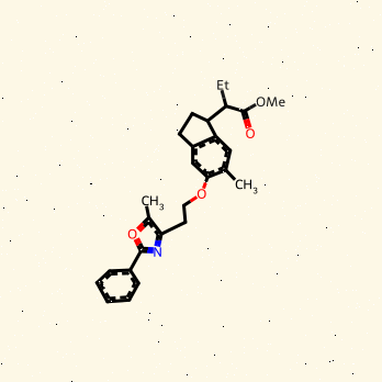 CCC(C(=O)OC)C1CCc2cc(OCCc3nc(-c4ccccc4)oc3C)c(C)cc21